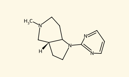 CN1CCC2[C@H](CCN2c2ncccn2)C1